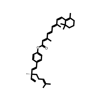 C=C[C@@](C)(/C=C/c1ccc(OC(=O)/C=C(C)/C=C/C=C(C)/C=C\C2=C(C)CCCC2(C)C)cc1)CCC=C(C)C